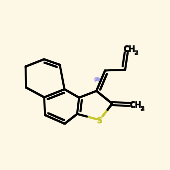 C=C/C=c1\c(=C)sc2ccc3c(c12)C=CCC3